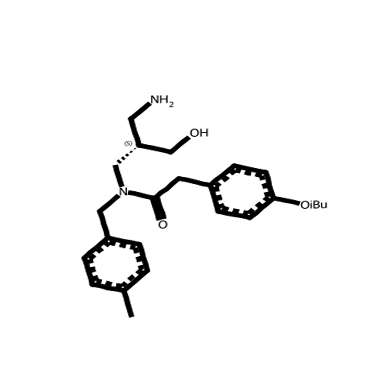 Cc1ccc(CN(C[C@H](CN)CO)C(=O)Cc2ccc(OCC(C)C)cc2)cc1